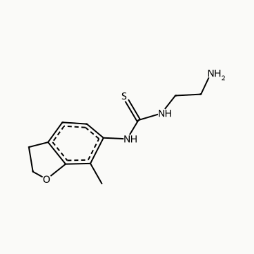 Cc1c(NC(=S)NCCN)ccc2c1OCC2